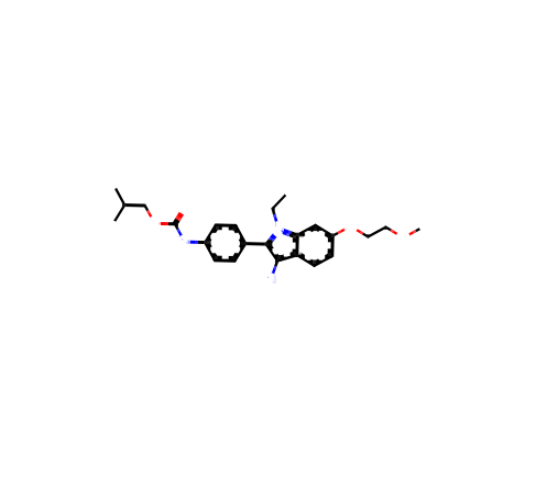 CCn1c(-c2ccc(NC(=O)OCC(C)C)cc2)c(N)c2ccc(OCCOC)cc21